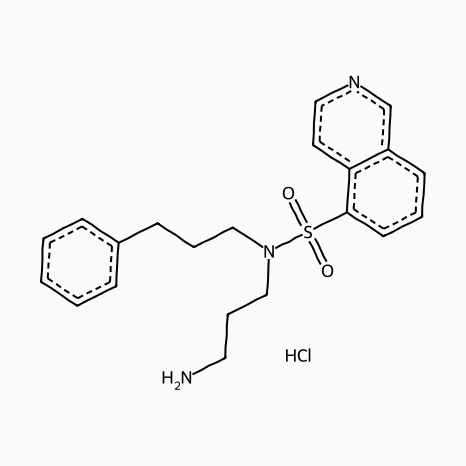 Cl.NCCCN(CCCc1ccccc1)S(=O)(=O)c1cccc2cnccc12